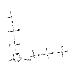 CCCCn1cc[n+](C)c1.F[B-](F)(F)F.F[B-](F)(F)F.F[B-](F)(F)F.F[B-](F)(F)F.F[B-](F)(F)F.F[B-](F)(F)F